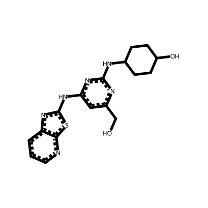 OCc1cc(Nc2nc3cccnc3s2)nc(NC2CCC(O)CC2)n1